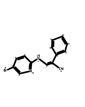 N#CC(=CNc1ccc(Br)cn1)c1ccccc1